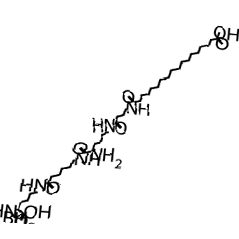 BN[C@@H](CCCCNC(=O)CCCCCNC(=O)[C@@H](N)CCCCNC(=O)CCCNC(=O)CCCCCCCCCCCCCCCCC(=O)O)C(=O)O